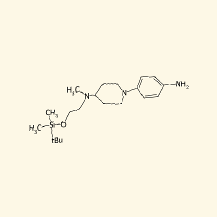 CN(CCO[Si](C)(C)C(C)(C)C)C1CCN(c2ccc(N)cc2)CC1